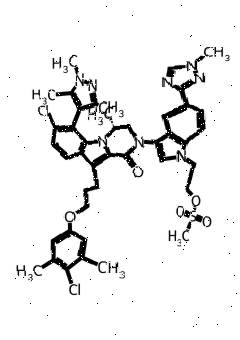 Cc1cc(OCCCc2c3n(c4c(-c5c(C)nn(C)c5C)c(Cl)ccc24)[C@H](C)CN(c2cn(CCOS(C)(=O)=O)c4ccc(-c5ncn(C)n5)cc24)C3=O)cc(C)c1Cl